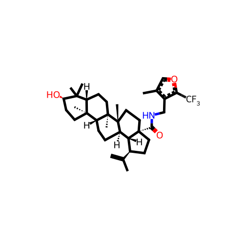 C=C(C)[C@@H]1CC[C@]2(C(=O)NCc3c(C)coc3C(F)(F)F)CC[C@]3(C)[C@H](CC[C@@H]4[C@@]5(C)CC[C@H](O)C(C)(C)[C@@H]5CC[C@]43C)[C@@H]12